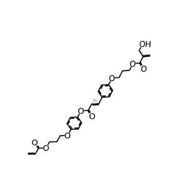 C=CC(=O)OCCCOc1ccc(OC(=O)/C=C/c2ccc(OCCCOC(=O)C(=C)CO)cc2)cc1